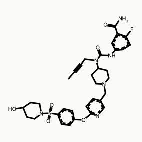 CC#CCN(C(=O)Nc1ccc(F)c(C(N)=O)c1)C1CCN(Cc2ccc(Oc3ccc(S(=O)(=O)N4CCC(O)CC4)cc3)nc2)CC1